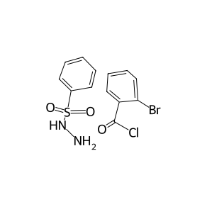 NNS(=O)(=O)c1ccccc1.O=C(Cl)c1ccccc1Br